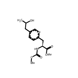 COC(=O)[C@H](Cc1ccc(CC(C)O)cn1)NC(=O)OC(C)(C)C